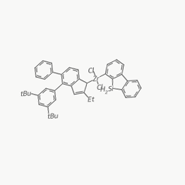 CCC1=Cc2c(ccc(-c3ccccc3)c2-c2cc(C(C)(C)C)cc(C(C)(C)C)c2)[CH]1[Zr]([Cl])([Cl])[c]1cccc2c1[SiH2]c1ccccc1-2